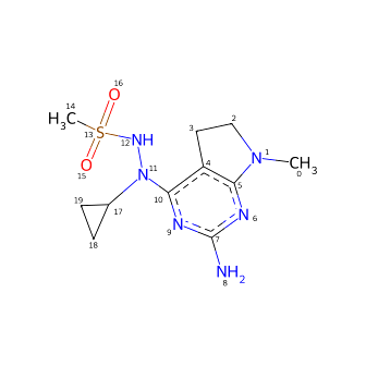 CN1CCc2c1nc(N)nc2N(NS(C)(=O)=O)C1CC1